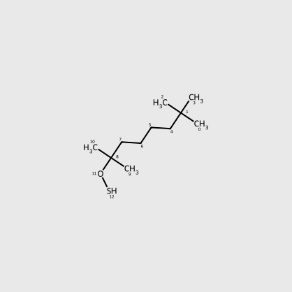 CC(C)(C)CCCCC(C)(C)OS